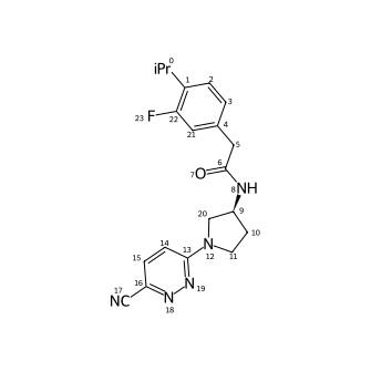 CC(C)c1ccc(CC(=O)N[C@H]2CCN(c3ccc(C#N)nn3)C2)cc1F